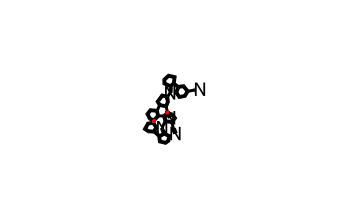 N#Cc1ccc2c(c1)c1ccccc1n2-c1ccc(-c2ccccc2-c2cccc(C#N)c2-n2c3ccccc3c3ccccc32)c(C#N)c1